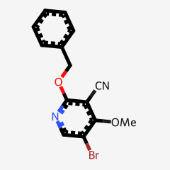 COc1c(Br)cnc(OCc2ccccc2)c1C#N